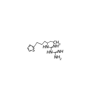 CCC(CCCc1cccs1)NC(=N)NC(=N)N